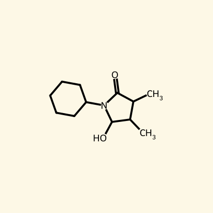 CC1C(=O)N(C2CCCCC2)C(O)C1C